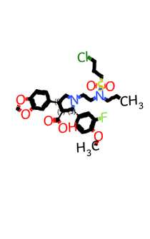 CCCN(CCN1C[C@H](c2ccc3c(c2)OCO3)[C@H](C(=O)O)[C@H]1c1ccc(OC)c(F)c1)S(=O)(=O)CCCCl